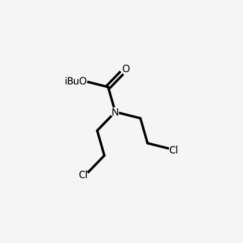 CC(C)COC(=O)N(CCCl)CCCl